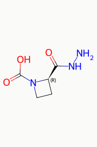 NNC(=O)[C@H]1CCN1C(=O)O